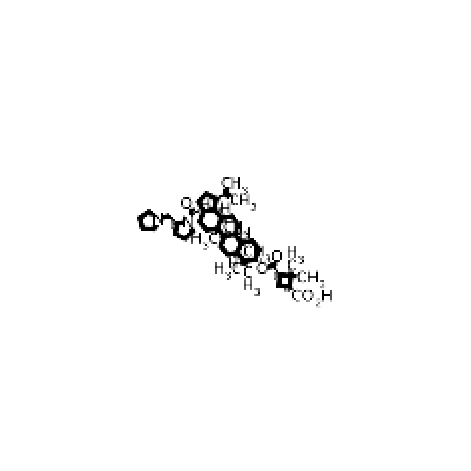 C=C(C)[C@@H]1CC[C@]2(C(=O)N3CCC[C@H]3CN3CCCC3)CC[C@]3(C)[C@H](CC[C@@H]4[C@@]5(C)CC[C@H](OC(=O)[C@@H]6C[C@H](C(=O)O)C6(C)C)C(C)(C)[C@@H]5CC[C@]43C)[C@@H]12